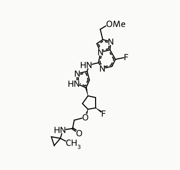 COCc1cn2c(Nc3cc([C@H]4C[C@@H](F)[C@@H](OCC(=O)NC5(C)CC5)C4)[nH]n3)ncc(F)c2n1